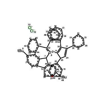 CC(C)(C)c1ccc2c(c1)[CH]([Zr+2]([C]1=C(c3ccccc3)C(c3ccccc3)=CC1c1ccccc1)=[C](c1ccccc1)c1ccccc1)c1cc(C(C)(C)C)ccc1-2.[Cl-].[Cl-]